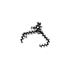 CCCCC/C=C\C/C=C\CCCCCCCCC(O)(CCCCCCCCCN/C=C\CCCCC)OC1C(I)C(S)CC(N(C)I)[C@H]1C